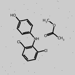 COC(C)=O.Oc1ccc(Nc2c(Cl)cccc2Cl)cc1